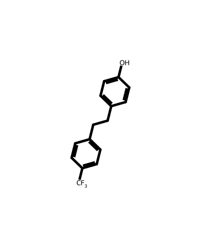 Oc1ccc(CCc2ccc(C(F)(F)F)cc2)cc1